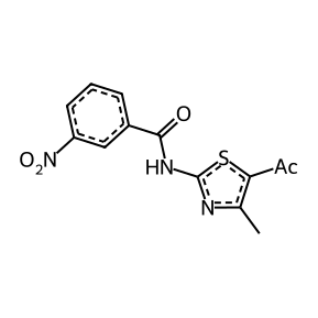 CC(=O)c1sc(NC(=O)c2cccc([N+](=O)[O-])c2)nc1C